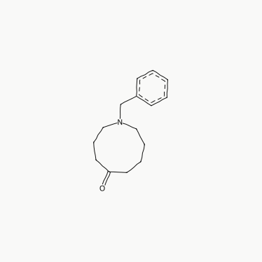 O=C1CCCCN(Cc2ccccc2)CCC1